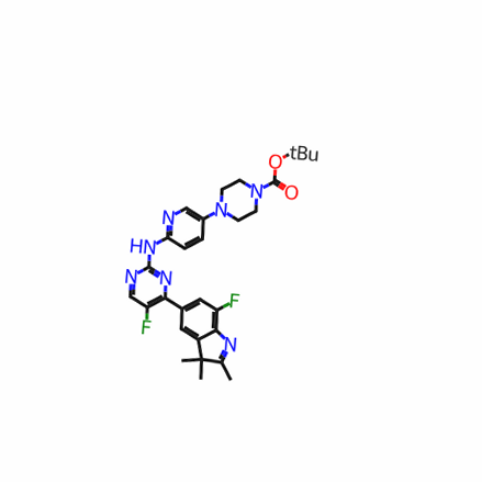 CC1=Nc2c(F)cc(-c3nc(Nc4ccc(N5CCN(C(=O)OC(C)(C)C)CC5)cn4)ncc3F)cc2C1(C)C